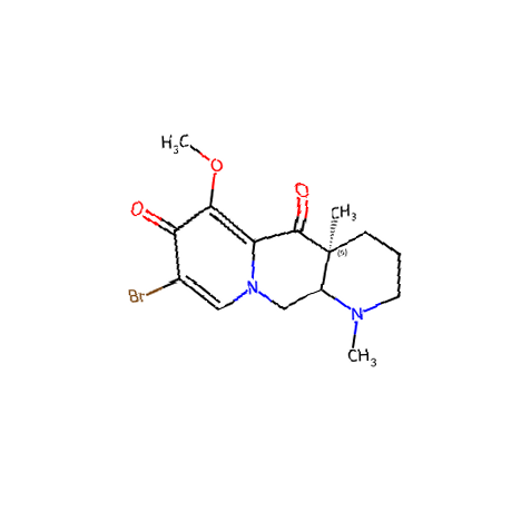 COc1c2n(cc(Br)c1=O)CC1N(C)CCC[C@]1(C)C2=O